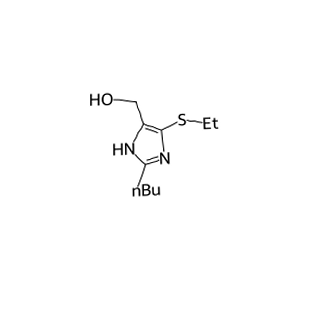 CCCCc1nc(SCC)c(CO)[nH]1